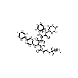 CN(C(=O)/C=C/CC(C)(C)N)C(Cc1ccc(-c2ccccc2)cc1)C(=O)N(C)C(Cc1ccccc1)C(=O)NN1CCCCC1